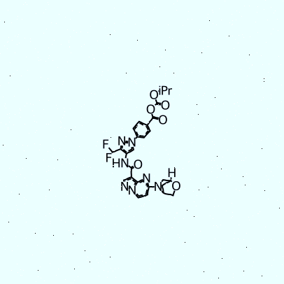 CC(C)OC(=O)OC(=O)c1ccc(-n2cc(NC(=O)c3cnn4ccc(N5C[C@H]6CC5CO6)nc34)c(C(F)F)n2)cc1